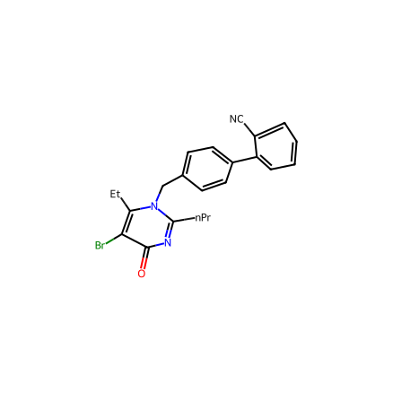 CCCc1nc(=O)c(Br)c(CC)n1Cc1ccc(-c2ccccc2C#N)cc1